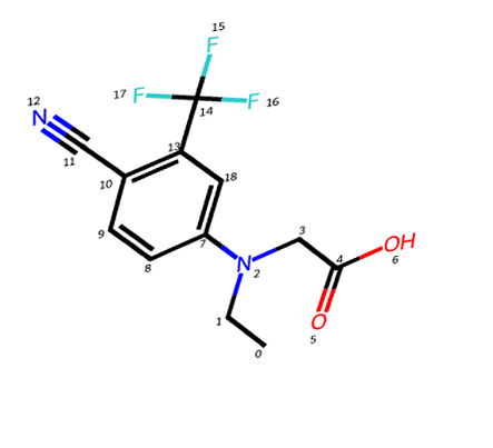 CCN(CC(=O)O)c1ccc(C#N)c(C(F)(F)F)c1